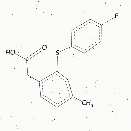 Cc1ccc(CC(=O)O)c(Sc2ccc(F)cc2)c1